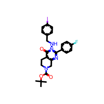 CC(C)(C)OC(=O)N1CCc2c(nc(-c3ccc(F)cc3)n(NCc3ccc(I)cc3)c2=O)C1